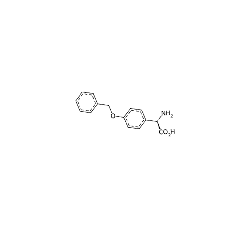 N[C@@H](C(=O)O)c1ccc(OCc2ccccc2)cc1